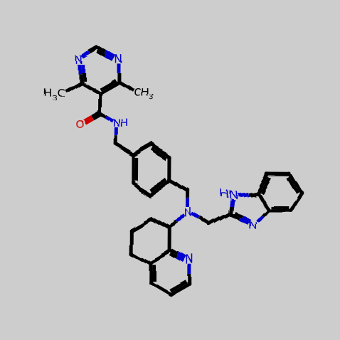 Cc1ncnc(C)c1C(=O)NCc1ccc(CN(Cc2nc3ccccc3[nH]2)C2CCCc3cccnc32)cc1